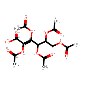 CC(=O)OCC(OC(C)=O)C(OC(C)=O)/C(OC(C)=O)=C(\OC(C)=O)C(=O)O